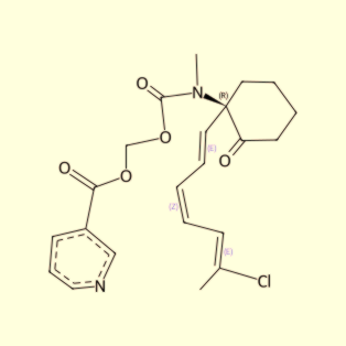 C\C(Cl)=C/C=C\C=C\[C@]1(N(C)C(=O)OCOC(=O)c2cccnc2)CCCCC1=O